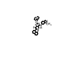 Cn1ncc2ccc(Nc3nc(OCC45CCCN4CCC5)nc4c(F)c(-c5cccc6cccc(F)c56)ncc34)cc21